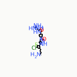 C[C@H](N)CCCc1cc(Cl)c(F)c(-c2cc3cn(-c4ccc([C@@H]5COC[C@@H](CNC(=N)N)N5)cc4)c(=O)nc3[nH]2)c1